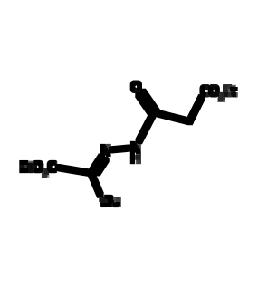 CCOC(=O)CC(=O)NN=C(C(=O)OCC)C(C)(C)C